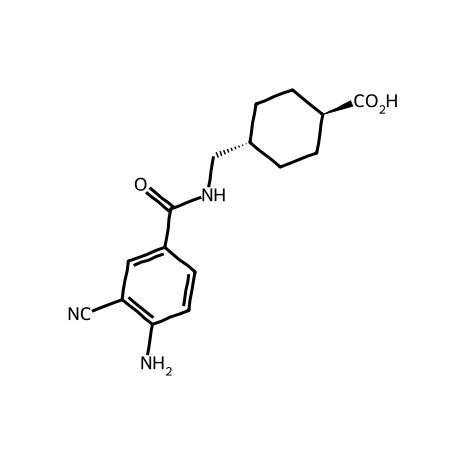 N#Cc1cc(C(=O)NC[C@H]2CC[C@H](C(=O)O)CC2)ccc1N